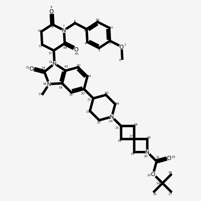 COc1ccc(CN2C(=O)CCC(n3c(=O)n(C)c4cc(C5CCN(C6CC7(C6)CN(C(=O)OC(C)(C)C)C7)CC5)ccc43)C2=O)cc1